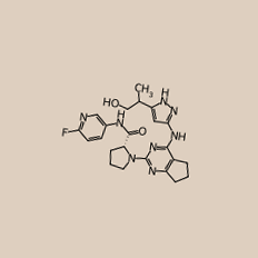 CC(CO)c1cc(Nc2nc(N3CCC[C@@H]3C(=O)Nc3ccc(F)nc3)nc3c2CCC3)n[nH]1